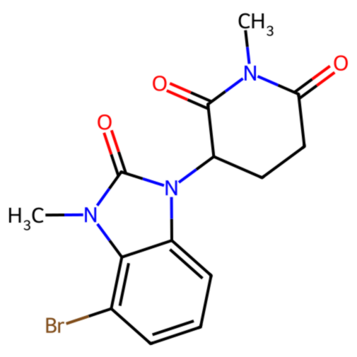 CN1C(=O)CCC(n2c(=O)n(C)c3c(Br)cccc32)C1=O